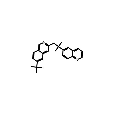 CC(C)(C)c1ccc2cnc(CC(C)(C)c3ccc4ncccc4c3)cc2c1